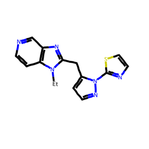 CCn1c(Cc2ccnn2-c2nccs2)nc2cnccc21